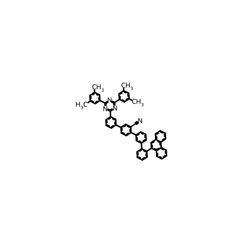 Cc1cc(C)cc(-c2nc(-c3cc(C)cc(C)c3)nc(-c3cccc(-c4ccc(-c5cccc(-c6ccccc6-c6cc7ccccc7c7ccccc67)c5)c(C#N)c4)c3)n2)c1